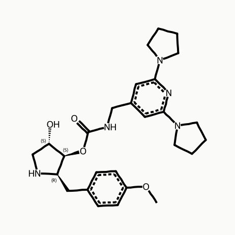 COc1ccc(C[C@H]2NC[C@H](O)[C@H]2OC(=O)NCc2cc(N3CCCC3)nc(N3CCCC3)c2)cc1